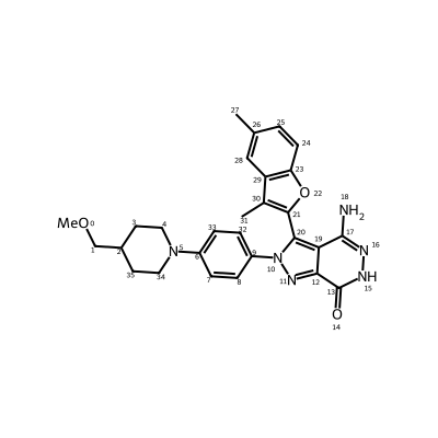 COCC1CCN(c2ccc(-n3nc4c(=O)[nH]nc(N)c4c3-c3oc4ccc(C)cc4c3C)cc2)CC1